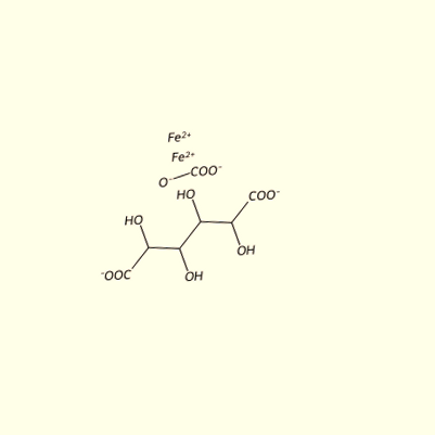 O=C([O-])C(O)C(O)C(O)C(O)C(=O)[O-].O=C([O-])[O-].[Fe+2].[Fe+2]